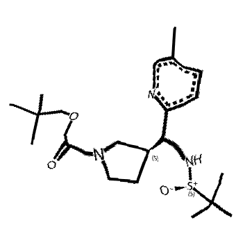 Cc1ccc(C(N[S@+]([O-])C(C)(C)C)[C@H]2CCN(C(=O)OC(C)(C)C)C2)nc1